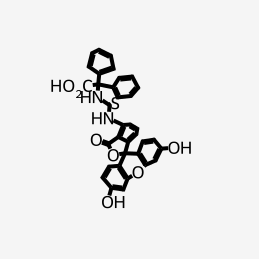 O=C1OC2(c3ccc(O)cc3Oc3cc(O)ccc32)c2cccc(NC(=S)NC(C(=O)O)(c3ccccc3)c3ccccc3)c21